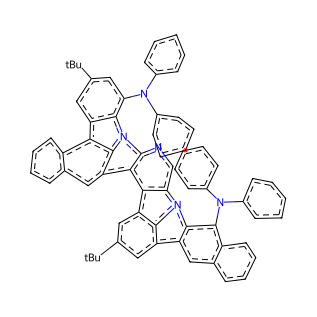 CC(C)(C)c1cc(N(c2ccccc2)c2ccccc2)c2c(c1)c1c3ccccc3cc3c4c5c6cc(C(C)(C)C)cc7c8cc9ccccc9c(N(c9ccccc9)c9ccccc9)c8n(c5cnc4n2c31)c76